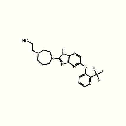 OCCN1CCCN(c2nc3nc(Sc4cccnc4C(F)(F)F)cnc3[nH]2)CC1